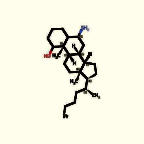 CC(C)CCC[C@@H](C)[C@H]1CC[C@H]2[C@@H]3C[C@H](N)C4CCCC(O)[C@]4(C)[C@H]3CC[C@]12C